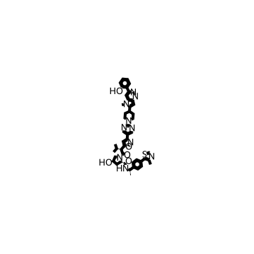 Cc1ncsc1-c1ccc([C@H](C)NC(=O)[C@@H]2C[C@@H](O)CN2C(=O)[C@@H](c2cc(-c3cnc(N4CCC(c5cc6nnc(-c7ccccc7O)cc6n5C)CC4)nc3)no2)C(C)C)cc1